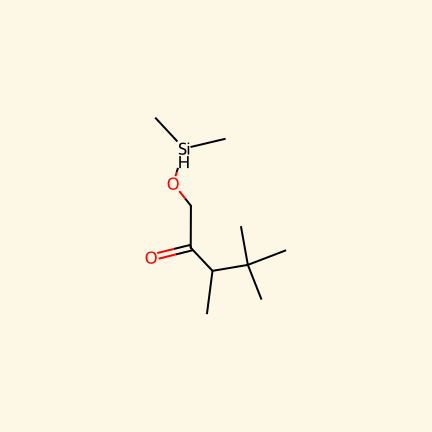 CC(C(=O)CO[SiH](C)C)C(C)(C)C